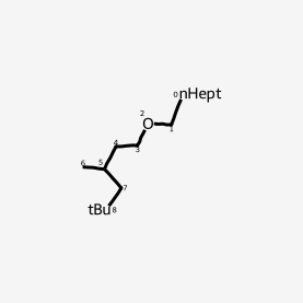 CCCCCCCCOCCC(C)CC(C)(C)C